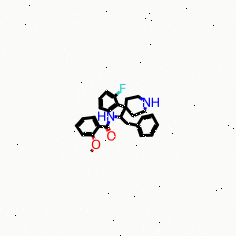 COc1ccccc1C(=O)NC(Cc1ccccc1)C1(c2ccccc2F)CCNCC1